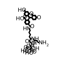 NCCC(=O)NC(CCCCNC(=O)c1ccc(C(=O)O)c(-c2c3ccc(=O)cc-3oc3cc(O)ccc23)c1)C(=O)NCCC(O)(P(=O)(O)O)P(=O)(O)O